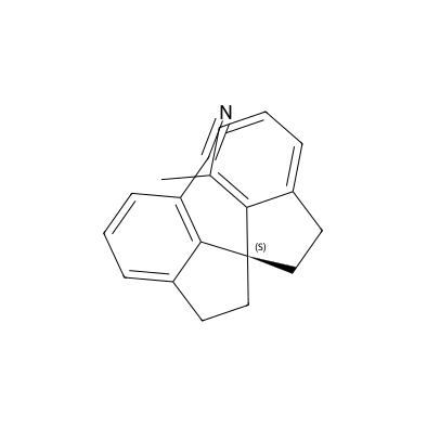 Cc1cccc2c1[C@]1(CC2)CCc2cccc(C#N)c21